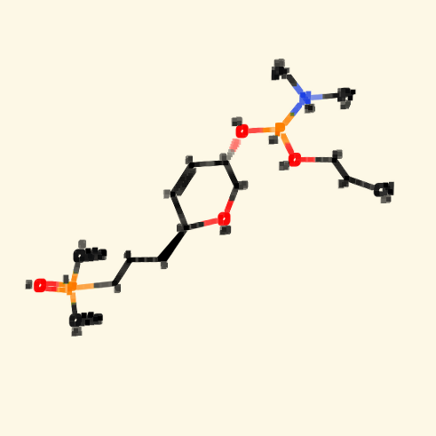 COP(=O)(CCC[C@H]1C=C[C@H](OP(OCCC#N)N(C(C)C)C(C)C)CO1)OC